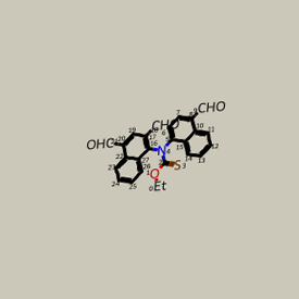 CCOC(=S)N(c1ccc(C=O)c2ccccc12)c1c(C=O)cc(C=O)c2ccccc12